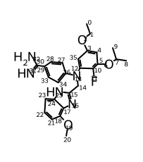 CCOc1cc(OC(C)C)c(F)c(N(Cc2nc3c(OC)cccc3[nH]2)c2ccc(C(=N)N)cc2)c1